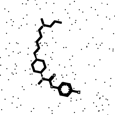 CCCN(C)CCCCC[C@H]1CC[C@H](N(C)C(=O)Oc2ccc(Cl)cc2)CC1